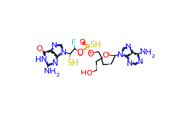 Nc1nc2c(ncn2[C@H](S)[C@@H](F)OP(=O)(S)OCC2(CCO)CC[C@H](n3cnc4c(N)ncnc43)O2)c(=O)[nH]1